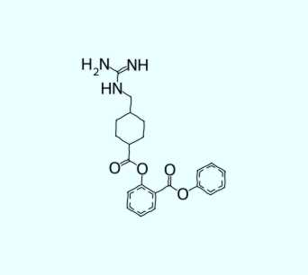 N=C(N)NCC1CCC(C(=O)Oc2ccccc2C(=O)Oc2ccccc2)CC1